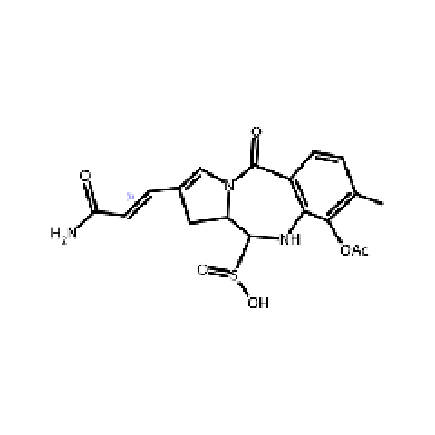 CC(=O)Oc1c(C)ccc2c1NC(S(=O)O)C1CC(/C=C/C(N)=O)=CN1C2=O